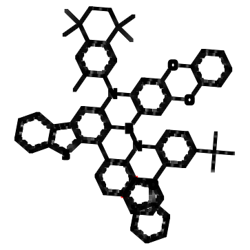 Cc1cc2c(cc1N1c3cc4c(cc3B3c5c1cc1c(sc6ccccc61)c5-c1ccc5c(oc6ccccc65)c1N3c1ccc(C(C)(C)C)cc1-c1ccccc1)Oc1ccccc1O4)C(C)(C)CCC2(C)C